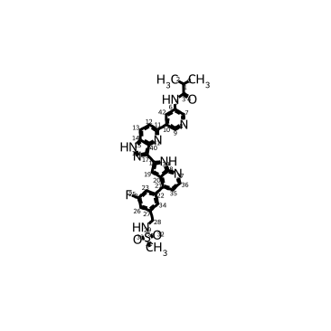 CC(C)C(=O)Nc1cncc(-c2ccc3[nH]nc(-c4cc5c(-c6cc(F)cc(CNS(C)(=O)=O)c6)ccnc5[nH]4)c3n2)c1